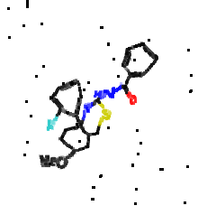 COC1CCC2(c3ccccc3F)N=C(NC(=O)c3ccccc3)SCC2C1